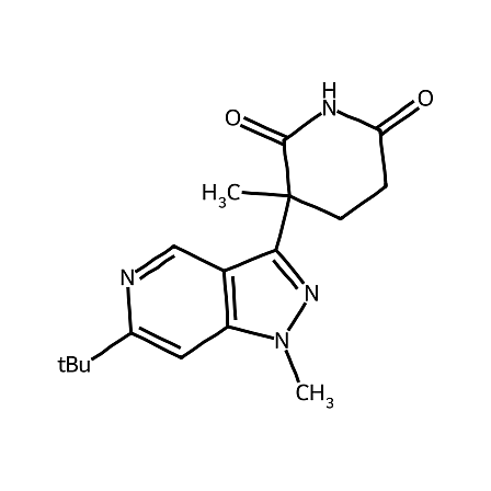 Cn1nc(C2(C)CCC(=O)NC2=O)c2cnc(C(C)(C)C)cc21